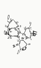 Cc1ccc2c(-c3ccc(F)c(C)c3)c(C3=CCOCC3)c[n+]([O-])c2c1